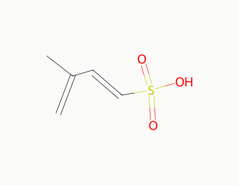 C=C(C)/C=C/S(=O)(=O)O